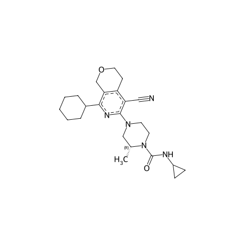 C[C@@H]1CN(c2nc(C3CCCCC3)c3c(c2C#N)CCOC3)CCN1C(=O)NC1CC1